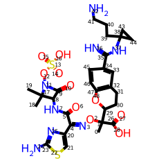 CC(ON=C(C(=O)NC1C(=O)N(OS(=O)(=O)O)C1(C)C)c1csc(N)n1)(C(=O)O)C1CCc2cc(C(=N)NC3(CCCN)CC3)ccc2O1